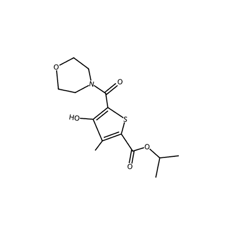 Cc1c(C(=O)OC(C)C)sc(C(=O)N2CCOCC2)c1O